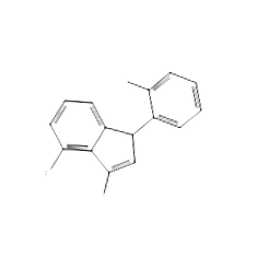 CC1=CC(c2ccccc2C)c2cccc(Br)c21